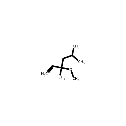 C=CC(C)(CC(C)C)OC